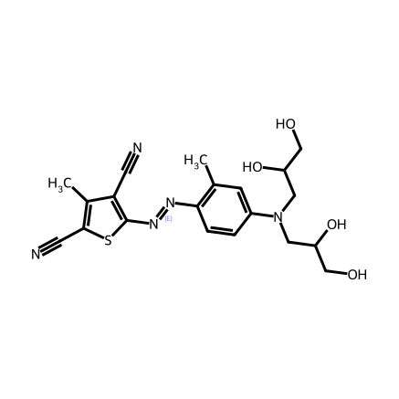 Cc1cc(N(CC(O)CO)CC(O)CO)ccc1/N=N/c1sc(C#N)c(C)c1C#N